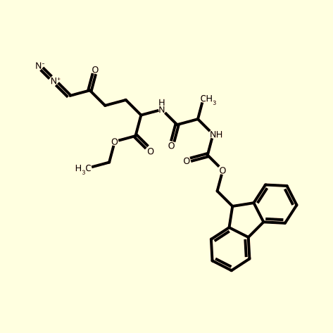 CCOC(=O)C(CCC(=O)C=[N+]=[N-])NC(=O)C(C)NC(=O)OCC1c2ccccc2-c2ccccc21